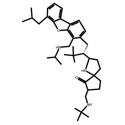 CC(C)Cc1cccc2c1oc1c(CNC(C)C)c(C[C@H](C3CCC4(CCC(CNC(C)(C)C)C4=O)N3)C(C)(C)C)ccc12